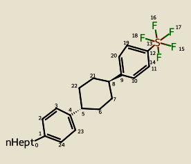 CCCCCCCc1ccc([C@H]2CC[C@H](c3ccc(S(F)(F)(F)(F)F)cc3)CC2)cc1